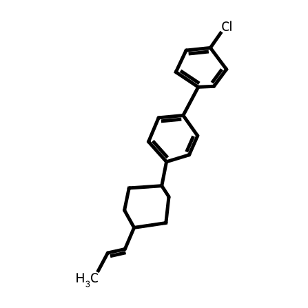 CC=CC1CCC(c2ccc(-c3ccc(Cl)cc3)cc2)CC1